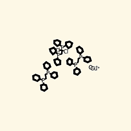 ClC(Cl)(CP(c1ccccc1)c1ccccc1)P(c1ccccc1)c1ccccc1.[Cu+].[Cu+].c1ccc(P(CCP(c2ccccc2)c2ccccc2)c2ccccc2)cc1.c1ccc(P(CCP(c2ccccc2)c2ccccc2)c2ccccc2)cc1